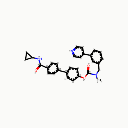 CN(Cc1cccc(-c2ccncc2)c1)C(=O)Oc1ccc(-c2ccc(C(=O)NC3CC3)cc2)cc1